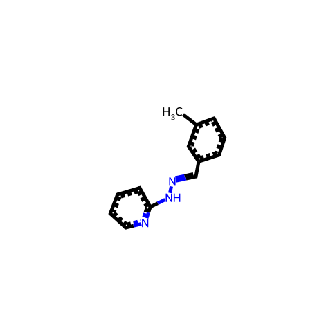 Cc1cccc(C=NNc2ccccn2)c1